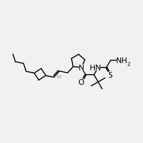 CCCCC1CC(/C=C/CC2CCCN2C(=O)C(NC(=S)CN)C(C)(C)C)C1